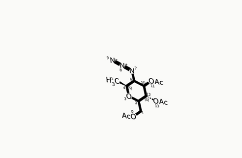 CC(=O)OCC1O[C@@H](C)C(N=[N+]=[N-])C(OC(C)=O)[C@@H]1OC(C)=O